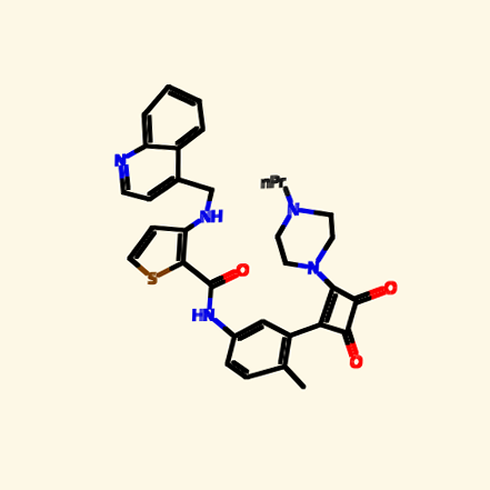 CCCN1CCN(c2c(-c3cc(NC(=O)c4sccc4NCc4ccnc5ccccc45)ccc3C)c(=O)c2=O)CC1